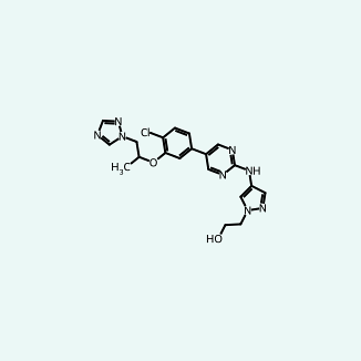 CC(Cn1cncn1)Oc1cc(-c2cnc(Nc3cnn(CCO)c3)nc2)ccc1Cl